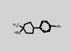 CCCCC1(C)CCC(c2ccc(CCC)cc2)CC1